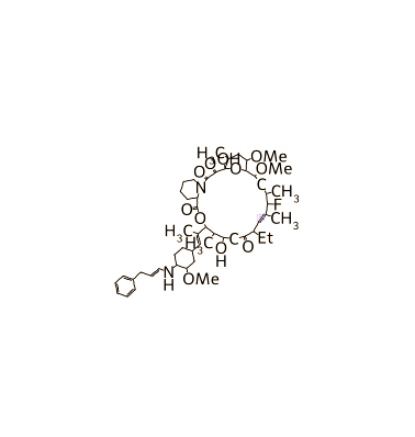 CCC1/C=C(\C)C(F)C(C)CC(OC)C2OC(O)(C(=O)C(=O)N3CCCCC3C(=O)OC(C(C)=CC3CCC(NC=CCc4ccccc4)C(OC)C3)C(C)C(O)CC1=O)C(C)CC2OC